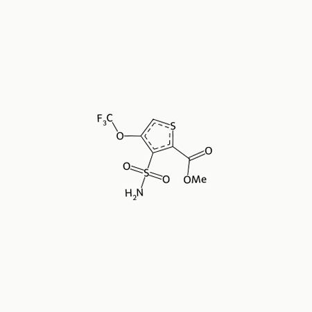 COC(=O)c1scc(OC(F)(F)F)c1S(N)(=O)=O